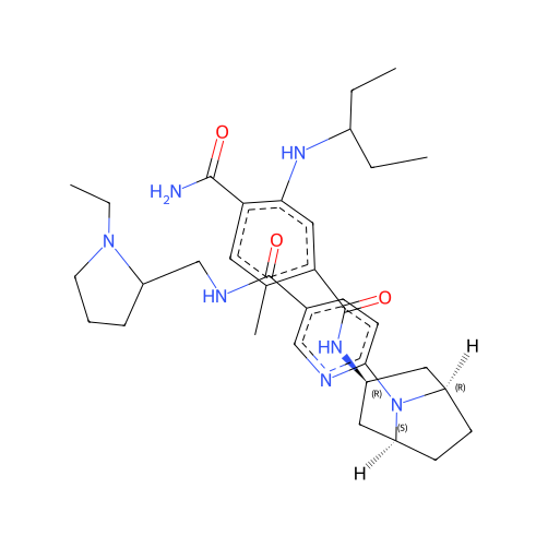 CCC(CC)Nc1cc(C(=O)N[C@H]2C[C@H]3CC[C@@H](C2)N3c2ccc(C(=O)NCC3CCCN3CC)cn2)c(C)cc1C(N)=O